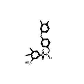 CCN(Sc1ccc(Oc2ccc(C)c(C)c2)cc1)S(=O)(=O)c1cc(C)c(C)c(C(=O)O)c1